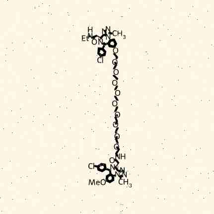 CCNC(=O)C[C@@H]1N=C(c2ccc(Cl)cc2)c2cc(OCCOCCOCCOCCOCCOCCOCCOCCOCCOCCNC(=O)C[C@@H]3N=C(c4ccc(Cl)cc4)c4cc(OC)ccc4-n4c(C)nnc43)ccc2-n2c(C)nnc21